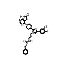 O=C1Cc2c(ncnc2N2CCC(c3nc(-c4ccc(F)c(Cl)c4)cn3CCCNC(=O)OCc3ccccc3)CC2)N1